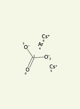 O=C([O-])[O-].[Ar].[Cs+].[Cs+]